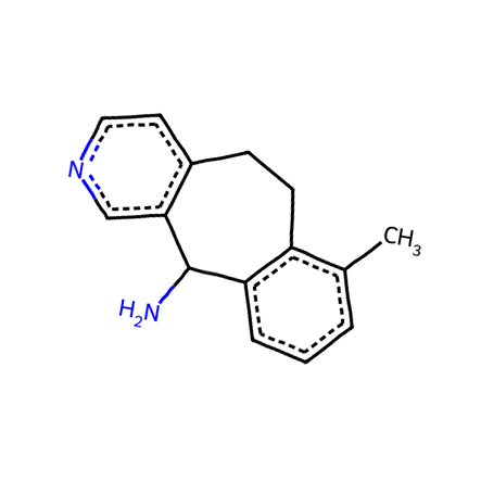 Cc1cccc2c1CCc1ccncc1C2N